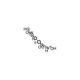 C=C(/C=C\O)NCC1CN(c2ccc(-c3ccc(N4C=NN(C(=O)CO)CC4)nc3)c(F)c2)C(=O)O1